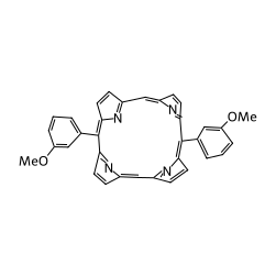 COc1cccc(C2=C3C=CC(=N3)C=C3C=CC(=N3)C(c3cccc(OC)c3)=C3C=CC(=N3)C=C3C=CC2=N3)c1